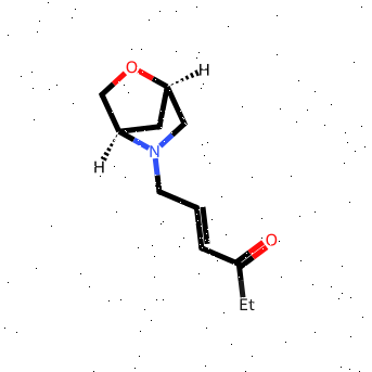 CCC(=O)/C=C/CN1C[C@H]2C[C@@H]1CO2